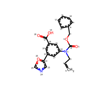 C=CCN(C(=O)OCc1ccccc1)c1cc(C(=O)O)cc(-c2cnco2)c1